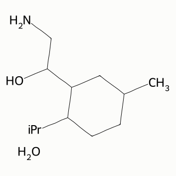 CC1CCC(C(C)C)C(C(O)CN)C1.O